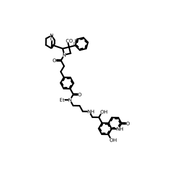 CCN(CCCNCC(O)c1ccc(O)c2[nH]c(=O)ccc12)C(=O)c1ccc(CCC(=O)N2CC(C(=O)O)(c3ccccc3)C2C2CN3CCC2CC3)cc1